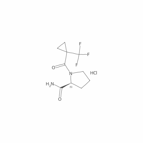 Cl.NC(=O)[C@@H]1CCCN1C(=O)C1(C(F)(F)F)CC1